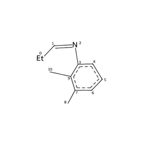 CC/C=N\c1cccc(C)c1C